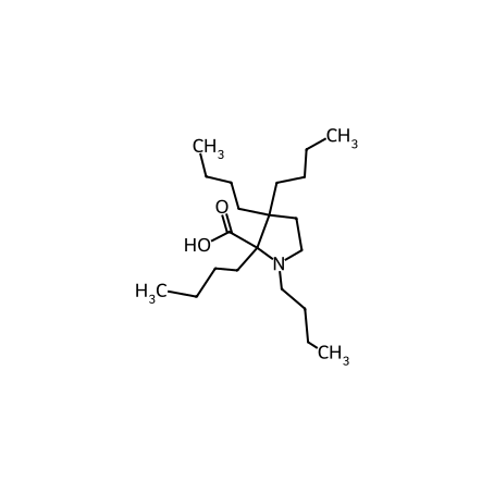 CCCCN1CCC(CCCC)(CCCC)C1(CCCC)C(=O)O